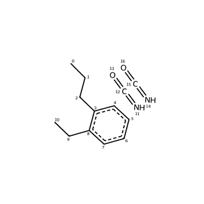 CCCc1ccccc1CC.N=C=O.N=C=O